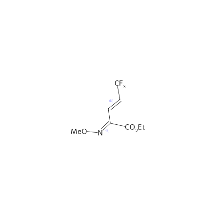 CCOC(=O)C(/C=C/C(F)(F)F)=N/OC